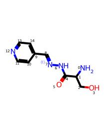 NC(CO)C(=O)N/N=C/c1ccncc1